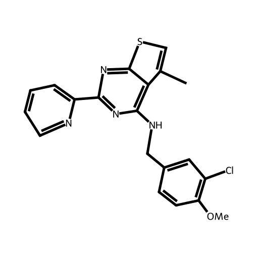 COc1ccc(CNc2nc(-c3ccccn3)nc3scc(C)c23)cc1Cl